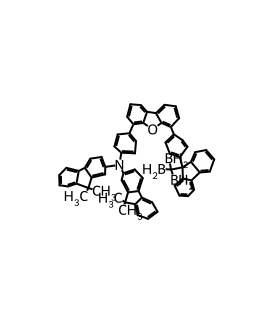 BC(B)(B)C1(c2ccc(-c3cccc4c3oc3c(-c5ccc(N(c6ccc7c(c6)C(C)(C)c6ccccc6-7)c6ccc7c(c6)C(C)(C)c6ccccc6-7)cc5)cccc34)cc2)c2ccccc2-c2ccccc21